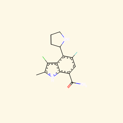 Cc1[nH]c2c(C(N)=O)cc(F)c(C3CCCN3)c2c1Cl